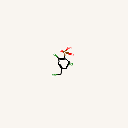 Cl.O=S(=O)(O)c1ccc(CCl)cc1Cl